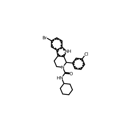 O=C(NC1CCCCC1)N1CCc2c([nH]c3ccc(Br)cc23)C1c1cccc(Cl)c1